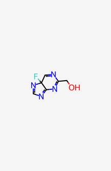 OCC1=NC2=NC=NC2(F)C=N1